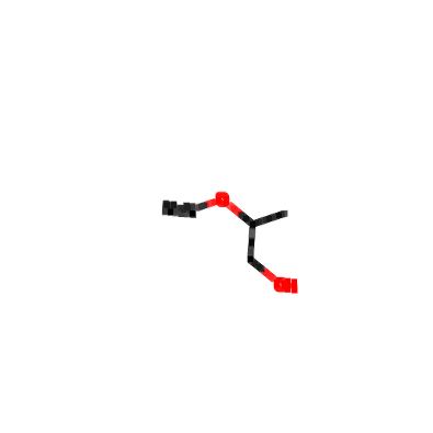 CNOC(C)CO